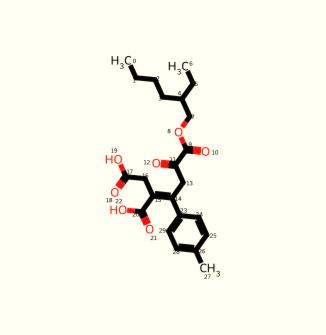 CCCCC(CC)COC(=O)C(=O)CC(=C(CC(=O)O)C(=O)O)c1ccc(C)cc1